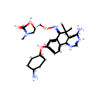 CN1C[C@@H](CO/N=C2\c3cc(OC4CCC(N)CC4)ccc3-c3ncnc(N)c3C2(C)C)OC1=O